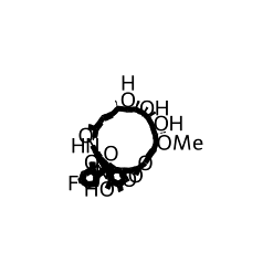 CO[C@H]1/C=C/O[C@@]2(C)Oc3c(C)c(O)c4c(=O)c(c5oc6cc(F)ccc6nc-5c4c3C2=O)NC(=O)/C(C)=C\C=C\[C@H](C)[C@H](O)[C@@H](C)[C@@H](O)[C@@H](C)[C@H](O)[C@@H]1C